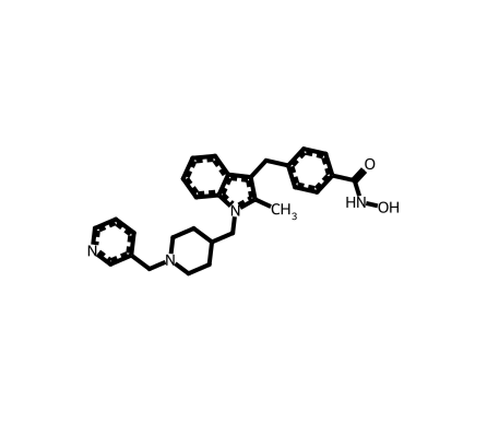 Cc1c(Cc2ccc(C(=O)NO)cc2)c2ccccc2n1CC1CCN(Cc2cccnc2)CC1